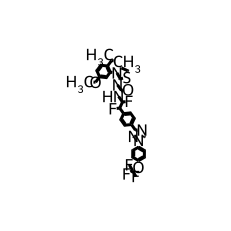 COc1ccc(C(C)C)c(N2CCS/C2=N\C(=O)NC(F)C(F)c2ccc(-c3ncn(-c4ccc(OC(F)(F)F)cc4)n3)cc2)c1